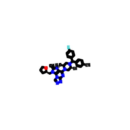 CC[C@@H]1CN(c2nc3nncn3c3c2nc(C)n3C[C@@H]2CCCO2)[C@@H](C)CN1C(c1ccc(F)cc1)c1ccc(C#N)cc1